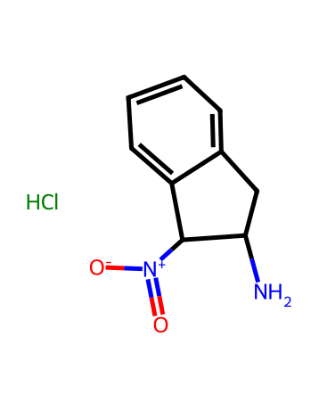 Cl.NC1Cc2ccccc2C1[N+](=O)[O-]